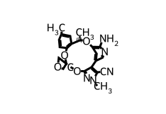 Cc1ccc2c(c1)[C@@H](C)Oc1cc(cnc1N)-c1c(nn(C)c1C#N)OCC1(COC1)O2